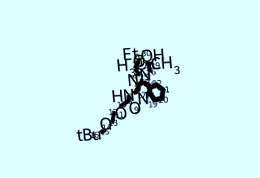 CCOCc1nc2c(NC(=O)COCCOCC(C)(C)C)nc3ccccc3c2n1CC(C)(C)O